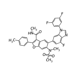 CNC(=O)c1c(-c2ccc(C)cc2)oc2cc(N(C)S(C)(=O)=O)c(-c3cc(F)c4ncn(-c5cc(F)cc(F)c5)c4c3)cc12